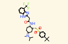 CC(C)N(C)[C@@H]1CC[C@H](NC(=O)Cc2nc3c(C(F)(F)F)cccc3[nH]2)[C@H](CS(=O)(=O)c2ccc(C(C)(C)C)cc2)C1